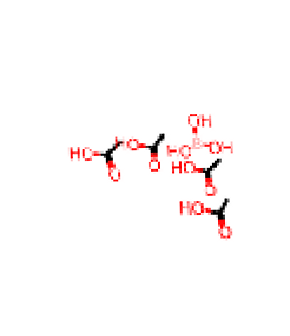 CC(=O)O.CC(=O)O.CC(=O)O.CC(=O)O.OB(O)O